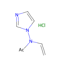 C=CN(C(C)=O)n1ccnc1.Cl